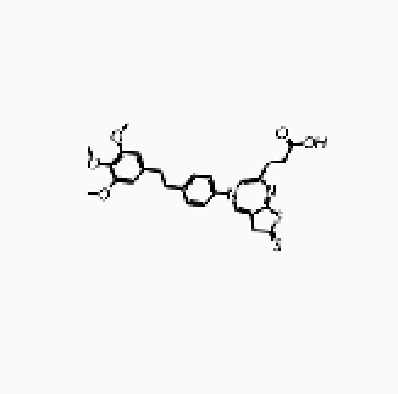 COc1cc(CCc2ccc(N3C=C(CCC(=O)O)N=C4SC(=S)CC4=C3)cc2)cc(OC)c1OC